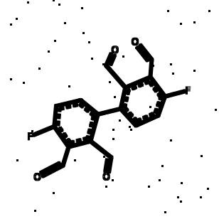 O=Cc1c(F)ccc(-c2ccc(F)c(C=O)c2C=O)c1C=O